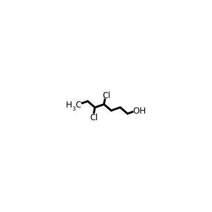 CCC(Cl)C(Cl)CCCO